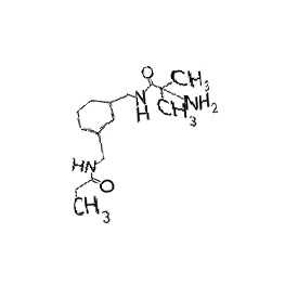 CCC(=O)NCC1CCCC(CNC(=O)C(C)(C)N)C1